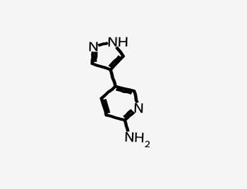 Nc1ccc(-c2cn[nH]c2)cn1